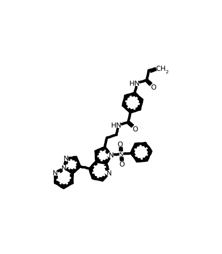 C=CC(=O)Nc1ccc(C(=O)NCCc2cc3c(-c4cnn5ncccc45)ccnc3n2S(=O)(=O)c2ccccc2)cc1